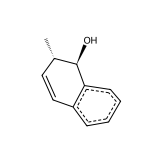 C[C@H]1C=Cc2ccccc2[C@@H]1O